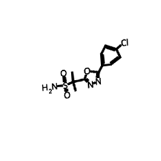 CC(C)(c1nnc(-c2ccc(Cl)cc2)o1)S(N)(=O)=O